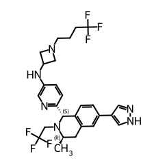 C[C@@H]1Cc2cc(-c3cn[nH]c3)ccc2[C@@H](c2ccc(NC3CN(CCCC(F)(F)F)C3)cn2)N1CC(F)(F)F